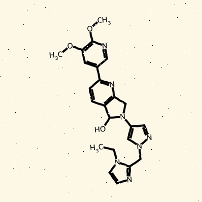 CCn1ccnc1Cn1cc(N2Cc3nc(-c4cnc(OC)c(OC)c4)ccc3C2O)cn1